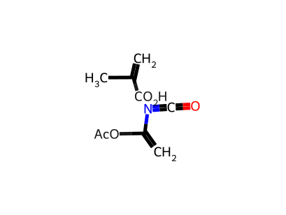 C=C(C)C(=O)O.C=C(N=C=O)OC(C)=O